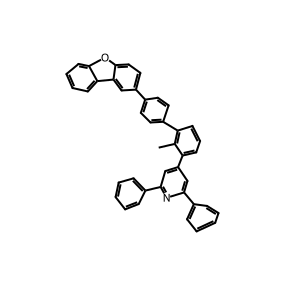 Cc1c(-c2ccc(-c3ccc4oc5ccccc5c4c3)cc2)cccc1-c1cc(-c2ccccc2)nc(-c2ccccc2)c1